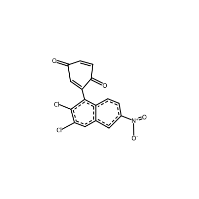 O=C1C=CC(=O)C(c2c(Cl)c(Cl)cc3cc([N+](=O)[O-])ccc23)=C1